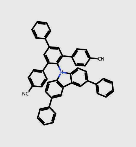 N#Cc1ccc(-c2cc(-c3ccccc3)cc(-c3ccc(C#N)cc3)c2-n2c3ccc(-c4ccccc4)cc3c3cc(-c4ccccc4)ccc32)cc1